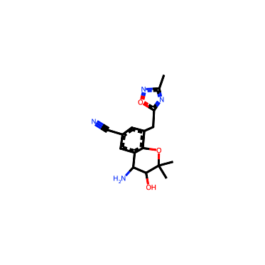 Cc1noc(Cc2cc(C#N)cc3c2OC(C)(C)C(O)C3N)n1